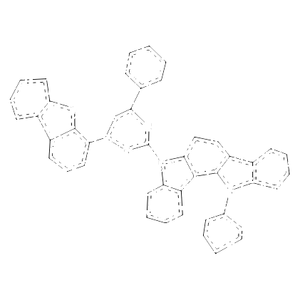 c1ccc(-c2cc(-c3cccc4c3sc3ccccc34)nc(-n3c4ccccc4c4c3ccc3c5ccccc5n(-c5ccccc5)c34)n2)cc1